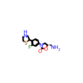 NC[C@H]1CN(c2ccc(C3CNCCS3)c(F)c2)C(=O)O1